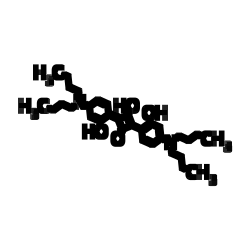 CCCCN(CCCC)c1ccc(C2=C(O)C(=C3C=CC(N(CCCC)CCCC)C=C3O)C2=O)c(O)c1